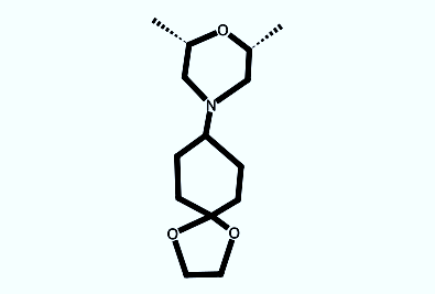 C[C@@H]1CN(C2CCC3(CC2)OCCO3)C[C@H](C)O1